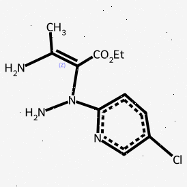 CCOC(=O)/C(=C(\C)N)N(N)c1ccc(Cl)cn1